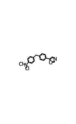 ClN(Cl)c1ccc(Cc2ccc(-c3cnco3)cc2)cc1